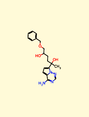 CC(O)(CCC(O)COCc1ccccc1)c1ccc2c(N)ncnn12